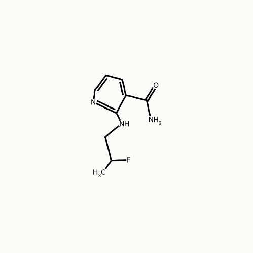 CC(F)CNc1ncccc1C(N)=O